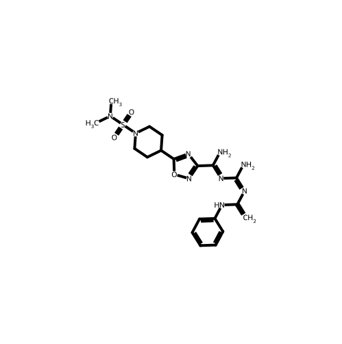 C=C(/N=C(N)\N=C(/N)c1noc(C2CCN(S(=O)(=O)N(C)C)CC2)n1)Nc1ccccc1